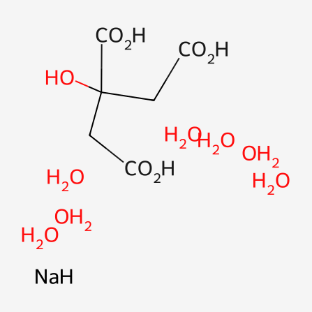 O.O.O.O.O.O.O.O=C(O)CC(O)(CC(=O)O)C(=O)O.[NaH]